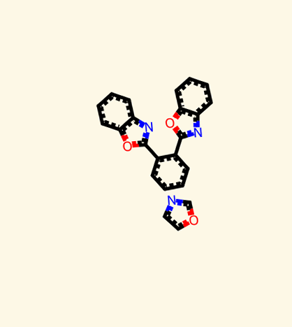 c1ccc(-c2nc3ccccc3o2)c(-c2nc3ccccc3o2)c1.c1cocn1